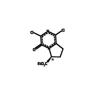 CCOC(=O)[C@@H]1CCc2c(Cl)nc(Cl)c(=O)n21